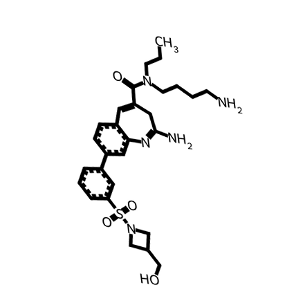 CCCN(CCCCN)C(=O)C1=Cc2ccc(-c3cccc(S(=O)(=O)N4CC(CO)C4)c3)cc2N=C(N)C1